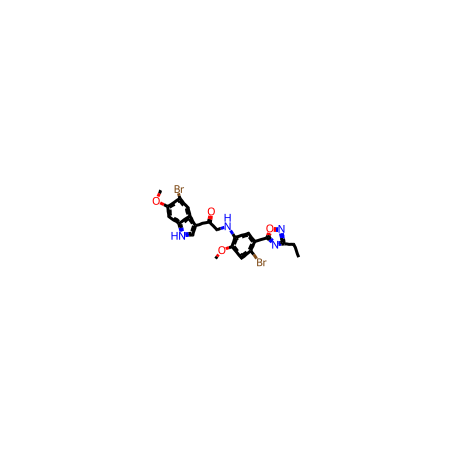 CCc1noc(-c2cc(NCC(=O)c3c[nH]c4cc(OC)c(Br)cc34)c(OC)cc2Br)n1